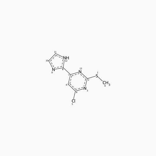 CSc1nc(Cl)cc(-c2ncc[nH]2)n1